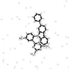 Cc1nc(C)nc(-c2cc(C#N)ccc2-n2c3ccccc3c3ccc(-c4ccccc4)cc32)n1